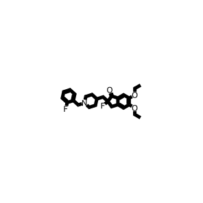 CCOc1cc2c(cc1OCC)C(=O)C(F)(CC1CCN(Cc3ccccc3F)CC1)C2